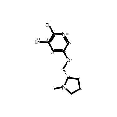 CN1CCC[C@H]1COc1cnc(Cl)c(Br)c1